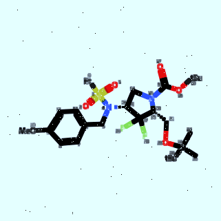 CCS(=O)(=O)N(Cc1ccc(OC)cc1)[C@@H]1CN(C(=O)OC(C)(C)C)[C@H](CO[Si](C)(C)C(C)(C)C)C1(F)F